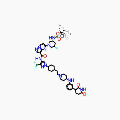 CC(C)(C)OC(=O)N[C@@H]1C[C@@H](F)CN(c2ccn3ncc(C(=O)Nc4cn(C5CCC(CCN6CCC(Nc7cccc(C8CCC(=O)NC8=O)c7)CC6)CC5)nc4C(F)F)c3n2)C1